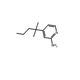 CCCC(C)(C)c1ccnc(N)c1